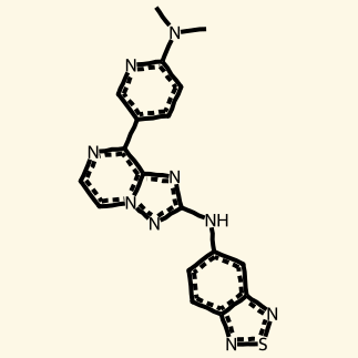 CN(C)c1ccc(-c2nccn3nc(Nc4ccc5nsnc5c4)nc23)cn1